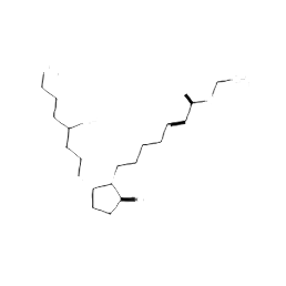 CCCCC(O)CCC[C@H]1CCC(=O)[C@@H]1CCCCC=CC(=O)OCC